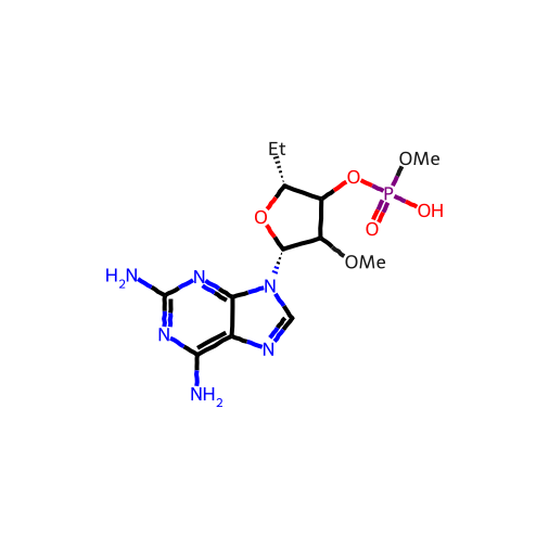 CC[C@H]1O[C@@H](n2cnc3c(N)nc(N)nc32)C(OC)C1OP(=O)(O)OC